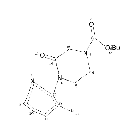 CC(C)COC(=O)N1CCN(c2ncccc2F)C(=O)C1